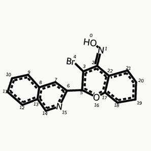 ON=c1c(Br)c(-c2cc3ccccc3cn2)oc2ccccc12